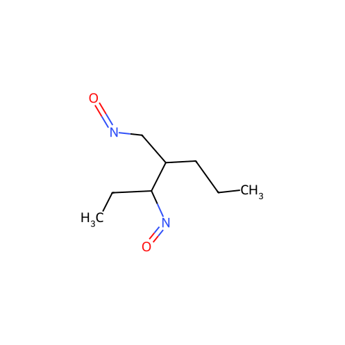 CCCC(CN=O)C(CC)N=O